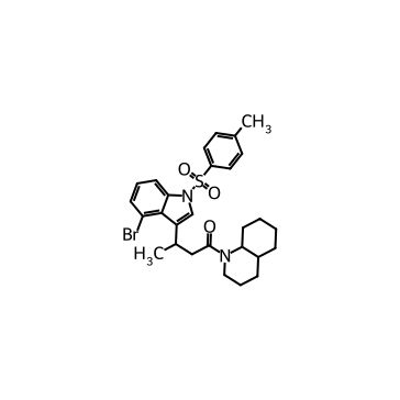 Cc1ccc(S(=O)(=O)n2cc(C(C)CC(=O)N3CCCC4CCCCC43)c3c(Br)cccc32)cc1